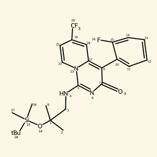 CC(C)(CNc1nc(=O)c(-c2ccccc2F)c2cc(C(F)(F)F)ccn12)O[Si](C)(C)C(C)(C)C